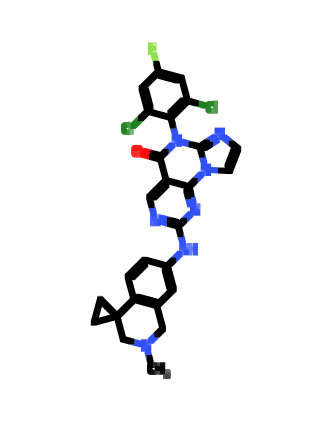 CN1Cc2cc(Nc3ncc4c(=O)n(-c5c(Cl)cc(F)cc5Cl)c5nccn5c4n3)ccc2C2(CC2)C1